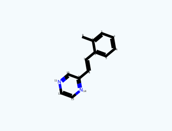 Cc1ccccc1C=Cc1cnccn1